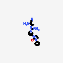 CC(/N=C(\N)N1CC2CC(N3CCN(C4CCCC4)C3=O)C1C2)=C(/N)C#N